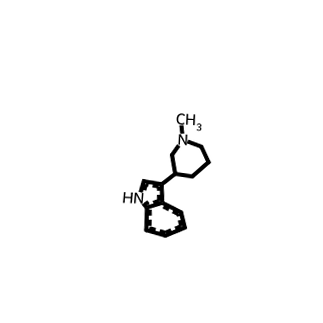 CN1CCCC(c2c[nH]c3ccccc23)C1